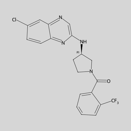 O=C(c1ccccc1C(F)(F)F)N1CC[C@@H](Nc2cnc3cc(Cl)ccc3n2)C1